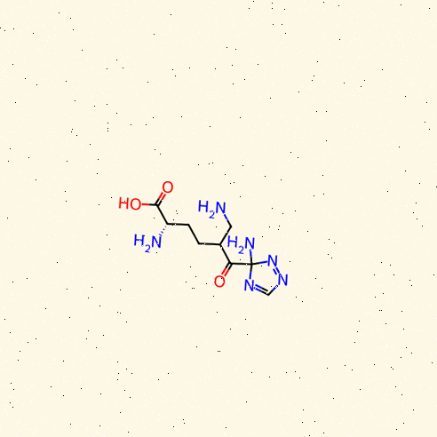 NCC(CC[C@H](N)C(=O)O)C(=O)C1(N)N=CN=N1